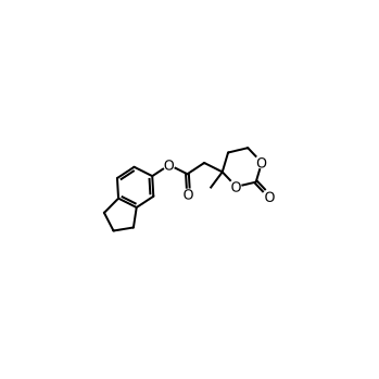 CC1(CC(=O)Oc2ccc3c(c2)CCC3)CCOC(=O)O1